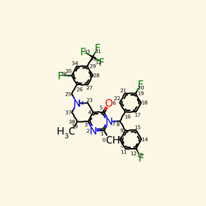 Cc1nc2c(c(=O)n1C(c1ccc(F)cc1)c1ccc(F)cc1)CN(Cc1ccc(C(F)(F)F)cc1F)CC2C